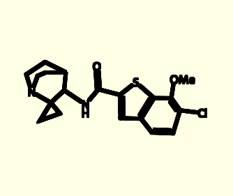 COc1c(Cl)ccc2cc(C(=O)NC3C4CCN(CC4)C34CC4)sc12